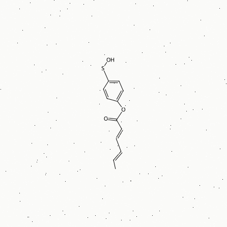 CC=CC=CC(=O)Oc1ccc(SO)cc1